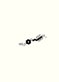 O=C(O)c1ccc(OCCCC(F)(F)C(F)(F)C(F)(F)C(F)(F)F)cc1